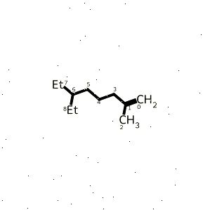 C=C(C)CCCC(CC)CC